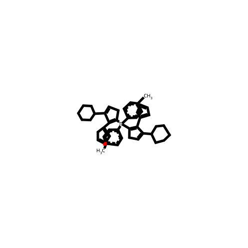 Cc1cc[c]([Ti]([C]2=C(C3=CC=CC3)C(C3CCCCC3)=CC2)([C]2=C(C3=CC=CC3)C(C3CCCCC3)=CC2)[c]2ccc(C)cc2)cc1